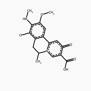 CNc1c(OC)cc2c(c1Cl)CC(C)n1cc(C(=O)O)c(=O)cc1-2